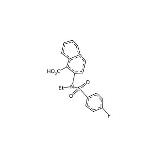 CCN(c1ccc2ccccc2c1C(=O)O)S(=O)(=O)c1ccc(F)cc1